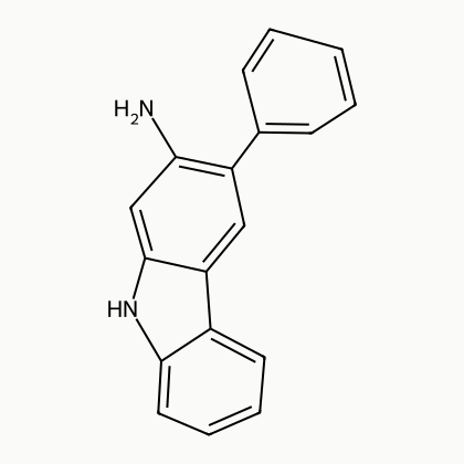 Nc1cc2[nH]c3ccccc3c2cc1-c1ccccc1